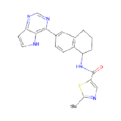 CC(C)(C)c1ncc(C(=O)NC2CCCc3cc(-c4ncnc5cc[nH]c45)ccc32)s1